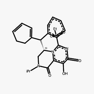 CCS(=O)(=O)c1nc(=O)c(O)c2n1[C@@H](C(C1=CC=CCC1)c1ccccc1)CN(C(C)C)C2=O